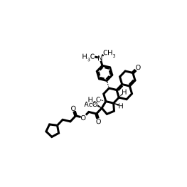 CC(=O)O[C@]1(C(=O)COC(=O)CCC2CCCC2)CC[C@H]2[C@@H]3CCC4=CC(=O)CCC4=C3[C@@H](c3ccc(N(C)C)cc3)C[C@@]21C